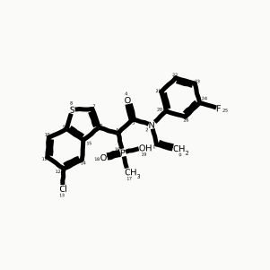 C=CN(C(=O)C(c1csc2ccc(Cl)cc12)P(C)(=O)O)c1cccc(F)c1